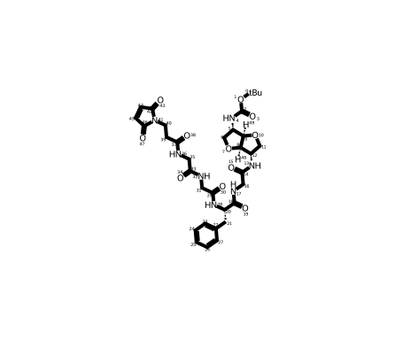 CC(C)(C)OC(=O)N[C@H]1CO[C@H]2[C@@H]1OC[C@@H]2NC(=O)CNC(=O)[C@H](Cc1ccccc1)NC(=O)CNC(=O)CNC(=O)CCN1C(=O)C=CC1=O